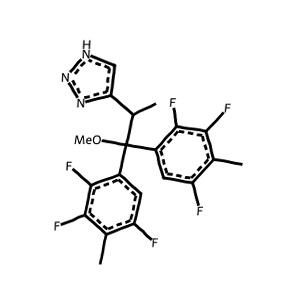 COC(c1cc(F)c(C)c(F)c1F)(c1cc(F)c(C)c(F)c1F)C(C)c1c[nH]nn1